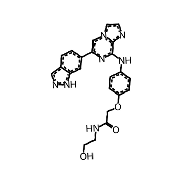 O=C(COc1ccc(Nc2nc(-c3ccc4cn[nH]c4c3)cn3ccnc23)cc1)NCCO